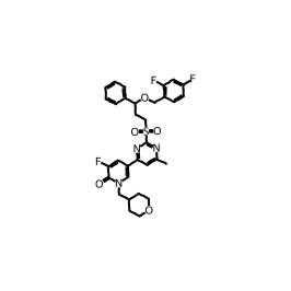 Cc1cc(-c2cc(F)c(=O)n(CC3CCOCC3)c2)nc(S(=O)(=O)CCC(OCc2ccc(F)cc2F)c2ccccc2)n1